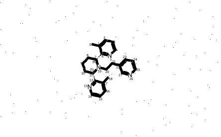 Cc1cccnc1[C@H]1CCC[C@@H](c2ncccc2C)N1CCc1cccnc1